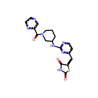 O=C1NC(=O)/C(=C\c2ccnc(NC3CCCN(C(=O)c4cnccn4)C3)n2)S1